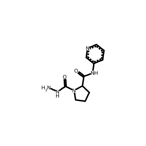 NNC(=O)N1CCCC1C(=O)Nc1cccnc1